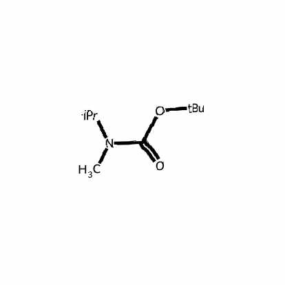 C[C](C)N(C)C(=O)OC(C)(C)C